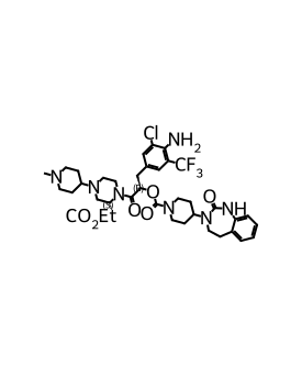 CCOC(=O)[C@@H]1CN(C2CCN(C)CC2)CCN1C(=O)[C@@H](Cc1cc(Cl)c(N)c(C(F)(F)F)c1)OC(=O)N1CCC(N2CCc3ccccc3NC2=O)CC1